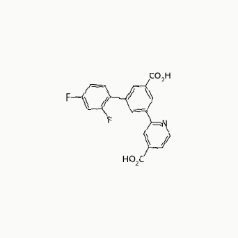 O=C(O)c1cc(-c2cc(C(=O)O)ccn2)cc(-c2ccc(F)cc2F)c1